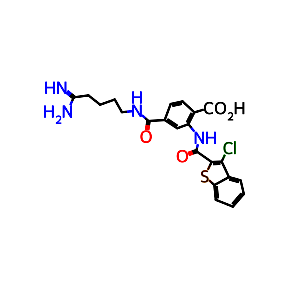 N=C(N)CCCCNC(=O)c1ccc(C(=O)O)c(NC(=O)c2sc3ccccc3c2Cl)c1